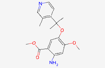 COC(=O)c1cc(OC(C)(C)c2ccncc2C)c(OC)cc1N